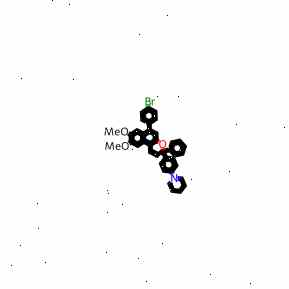 COc1cc2c(-c3ccc(Br)cc3)cc3c(c2cc1OC)C=CC(c1ccccc1)(c1ccc(N2CCCCC2)cc1)O3